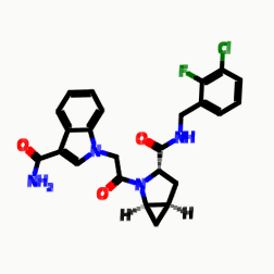 NC(=O)c1cn(CC(=O)N2[C@@H]3C[C@@H]3C[C@H]2C(=O)NCc2cccc(Cl)c2F)c2ccccc12